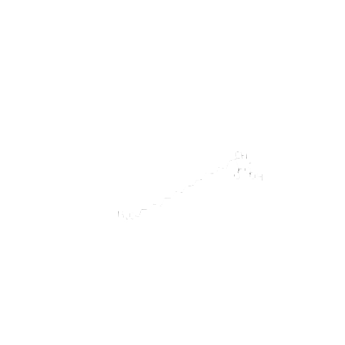 C=C(CCCCCCCCCCCCCCCCCCC)C(=O)OO